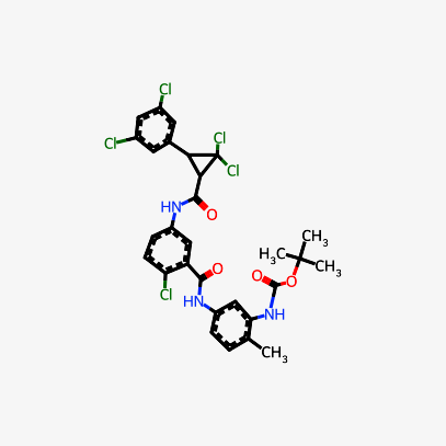 Cc1ccc(NC(=O)c2cc(NC(=O)C3C(c4cc(Cl)cc(Cl)c4)C3(Cl)Cl)ccc2Cl)cc1NC(=O)OC(C)(C)C